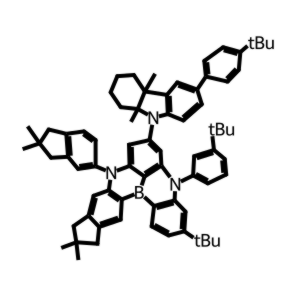 CC1(C)Cc2ccc(N3c4cc5c(cc4B4c6ccc(C(C)(C)C)cc6N(c6cccc(C(C)(C)C)c6)c6cc(N7c8ccc(-c9ccc(C(C)(C)C)cc9)cc8C8(C)CCCCC78C)cc3c64)CC(C)(C)C5)cc2C1